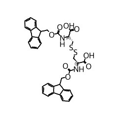 O=C(N[C@@H](CSSC[C@H](NC(=O)OCC1c2ccccc2-c2ccccc21)C(=O)O)C(=O)O)OCC1c2ccccc2-c2ccccc21